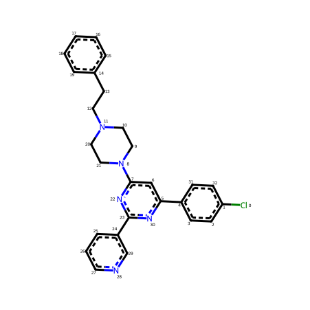 Clc1ccc(-c2cc(N3CCN(CCc4ccccc4)CC3)nc(-c3cccnc3)n2)cc1